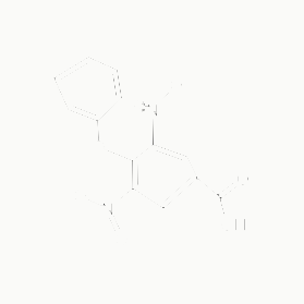 O=C(O)c1cc([N+](=O)[O-])c(Oc2ccccc2)c([N+](=O)[O-])c1